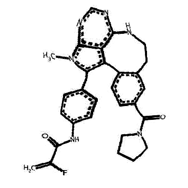 C=C(F)C(=O)Nc1ccc(-c2c3c4c(ncnc4n2C)NCCc2cc(C(=O)N4CCCC4)ccc2-3)cc1